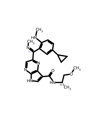 C/N=C(/c1cnc2[nH]cc(C(=O)N[C@@H](C)COC)c2n1)c1cc(C2CC2)ccc1NC